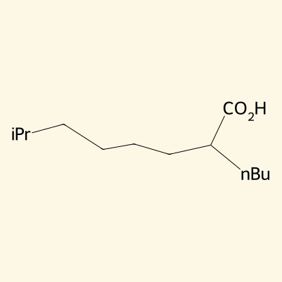 CCCCC(CCCCC(C)C)C(=O)O